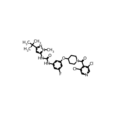 Cn1nc(C(C)(C)C)cc1NC(=O)Nc1cc(F)cc(OC2CCN(C(=O)c3c(Cl)cncc3Cl)CC2)c1